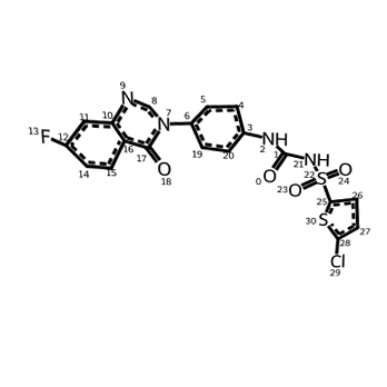 O=C(Nc1ccc(-n2cnc3cc(F)ccc3c2=O)cc1)NS(=O)(=O)c1ccc(Cl)s1